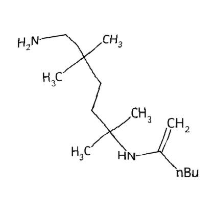 C=C(CCCC)NC(C)(C)CCC(C)(C)CN